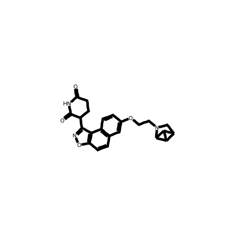 O=C1CCC(c2noc3ccc4cc(OCCN5CC6C7C6C75)ccc4c23)C(=O)N1